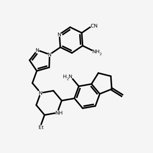 C=C1CCc2c1ccc(C1CN(Cc3cnn(-c4cc(N)c(C#N)cn4)c3)CC(CC)N1)c2N